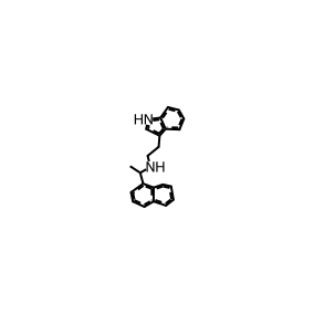 CC(NCCc1c[nH]c2ccccc12)c1cccc2ccccc12